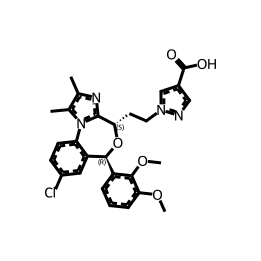 COc1cccc([C@@H]2O[C@@H](CCn3cc(C(=O)O)cn3)c3nc(C)c(C)n3-c3ccc(Cl)cc32)c1OC